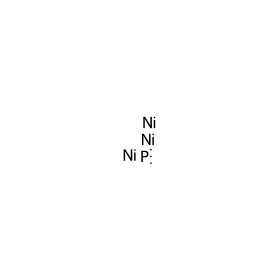 [Ni].[Ni].[Ni].[P]